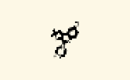 CC1(C)C=c2c(c(N3CCNCC3)nc3ccc(Cl)cc23)=N1